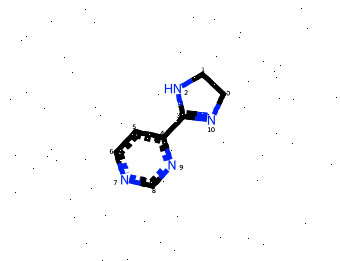 [CH]1CNC(c2ccncn2)=N1